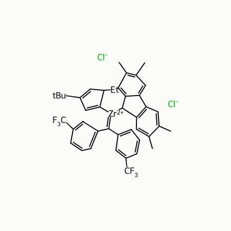 CCC1C=C(C(C)(C)C)C=[C]1[Zr+2](=[C](c1cccc(C(F)(F)F)c1)c1cccc(C(F)(F)F)c1)[CH]1c2cc(C)c(C)cc2-c2cc(C)c(C)cc21.[Cl-].[Cl-]